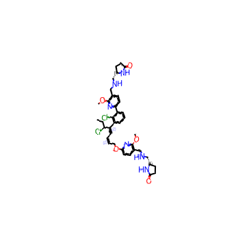 CCC(Cl)/C(=C\C=C/COc1ccc(CNC[C@@H]2CCC(=O)N2)c(OC)n1)c1cccc(-c2ccc(CNC[C@@H]3CCC(=O)N3)c(OC)n2)c1Cl